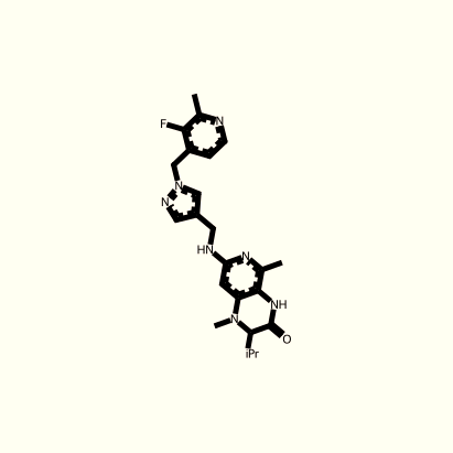 Cc1nccc(Cn2cc(CNc3cc4c(c(C)n3)NC(=O)C(C(C)C)N4C)cn2)c1F